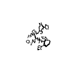 CCc1cccc(CC)c1/N=N/C(=C1/NCCN1CC1CN=C(Cl)S1)[N+](=O)[O-]